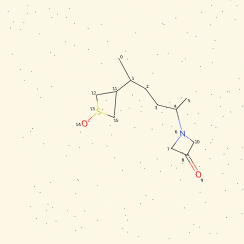 CC(CCC(C)N1CC(=O)C1)C1C[S+]([O-])C1